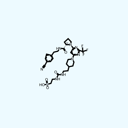 N#Cc1ccc(CCNC(=O)[C@@H]2CCCN2c2cc(N3CCC(CCNC(=O)NCCS(=O)(=O)O)CC3)nc(C(F)(F)F)n2)cc1